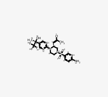 C/C(Cl)=C\[C@H]1CN(S(=O)(=O)c2ccc(N)nc2)CCN1c1ncc([C@@](C)(O)C(F)(F)F)cn1